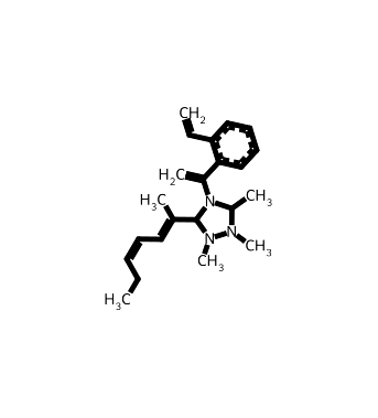 C=Cc1ccccc1C(=C)N1C(C)N(C)N(C)C1/C(C)=C/C=C\CC